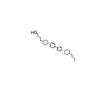 CCCC[C@H]1CC[C@H](c2ccc(-c3ccc([C@H]4CC[C@H](CCCCO)CC4)cc3)cc2)CC1